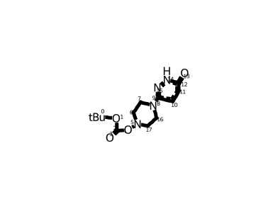 CC(C)(C)OC(=O)ON1CCN(c2ccc(=O)[nH]n2)CC1